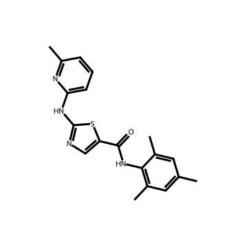 Cc1cc(C)c(NC(=O)c2cnc(Nc3cccc(C)n3)s2)c(C)c1